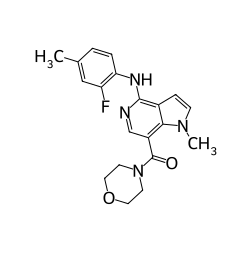 Cc1ccc(Nc2ncc(C(=O)N3CCOCC3)c3c2ccn3C)c(F)c1